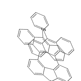 N#Cc1c2ccccc2c(-c2cccc3sc4cccc(-c5c6ccccc6c(-c6ccccc6)c6ccccc56)c4c23)c2ccccc12